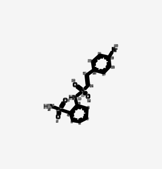 NS(=O)(=O)c1ccccc1NS(=O)(=O)C=Cc1ccc(Br)cc1